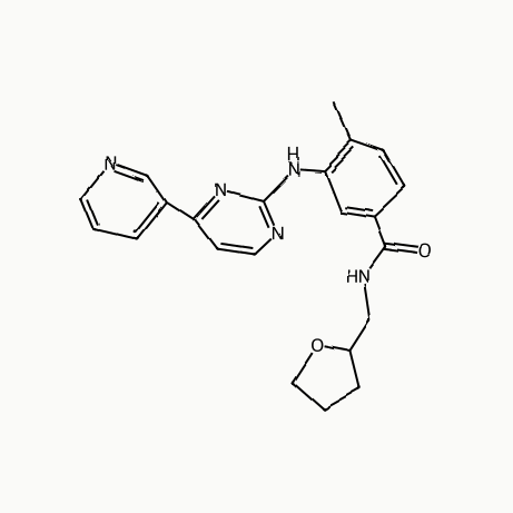 Cc1ccc(C(=O)NCC2CCCO2)cc1Nc1nccc(-c2cccnc2)n1